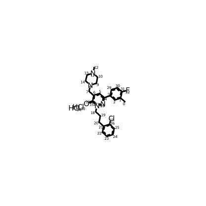 Cc1cc(-c2cc(CN3CCN(C)CC3)c(=O)n(CCCc3ccccc3Cl)n2)ccc1F.Cl.Cl